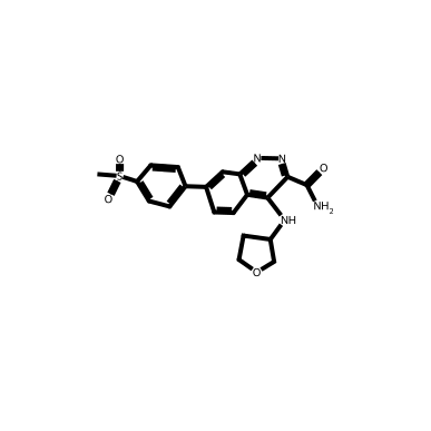 CS(=O)(=O)c1ccc(-c2ccc3c(NC4CCOC4)c(C(N)=O)nnc3c2)cc1